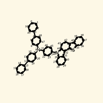 c1ccc(-c2ccc(N(c3ccc(-c4ccccc4)cc3)c3ccc(-n4c5ccccc5c5c6sc7ccccc7c6ccc54)cc3)cc2)cc1